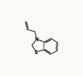 C=CCN1CSc2ccccc21